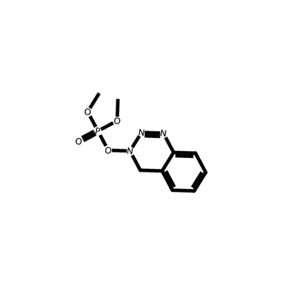 COP(=O)(OC)ON1Cc2ccccc2N=N1